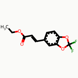 CCOC(=O)C=Cc1ccc2c(c1)OC(F)(F)O2